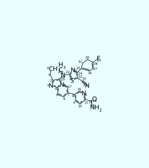 CCc1nc2ccc(-c3ccc(C(N)=O)nc3)cn2c1N(C)c1nc(C2=CC=C(F)CC2)c(C#N)s1